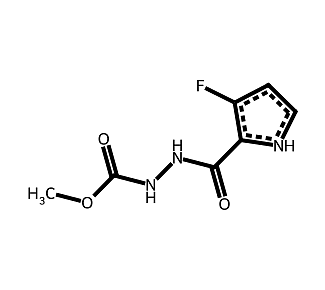 COC(=O)NNC(=O)c1[nH]ccc1F